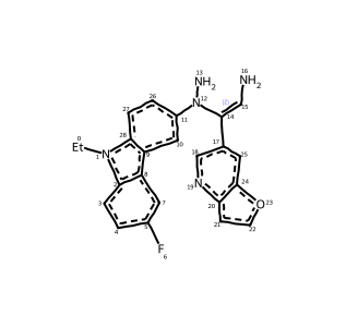 CCn1c2ccc(F)cc2c2cc(N(N)/C(=C\N)c3cnc4ccoc4c3)ccc21